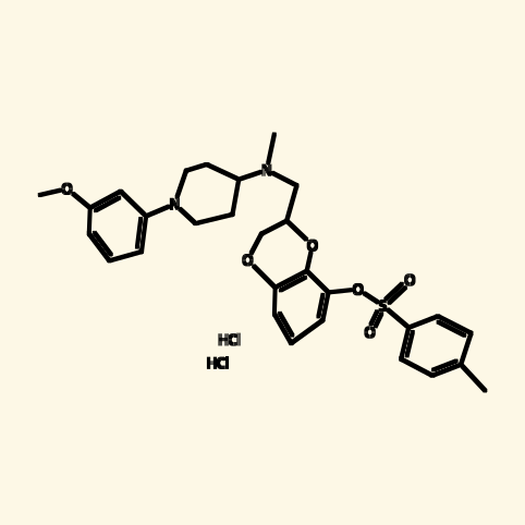 COc1cccc(N2CCC(N(C)CC3COc4cccc(OS(=O)(=O)c5ccc(C)cc5)c4O3)CC2)c1.Cl.Cl